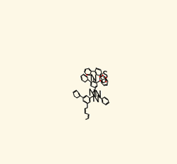 C/C=C\C=C/Cc1cc(C2=CC=CCC2)cc(-c2nc(-c3ccccc3)nc(-c3cc(-c4ccccc4)c(-n4c5ccccc5c5ccc6sc7ccccc7c6c54)c(C4C=CC=CC4)c3)n2)c1